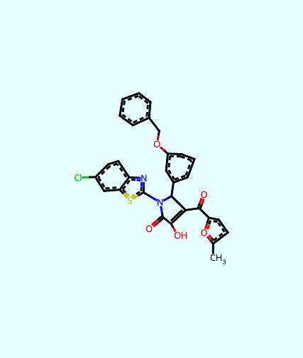 Cc1ccc(C(=O)C2=C(O)C(=O)N(c3nc4ccc(Cl)cc4s3)C2c2cccc(OCc3ccccc3)c2)o1